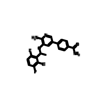 CC(Oc1cc(-c2ccc(C(N)=O)cc2)cnc1N)c1c(F)ccc(F)c1Cl